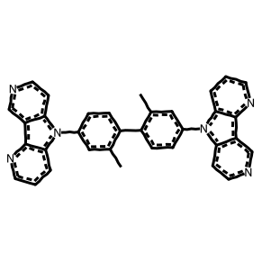 Cc1cc(-n2c3ccncc3c3ncccc32)ccc1-c1ccc(-n2c3ccncc3c3ncccc32)cc1C